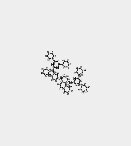 c1ccc(-c2cc(-c3ccccc3)nc(-n3c4ccccc4c4ccc(-c5ccc6c7c5ccc5cccc(c57)n6-c5nc(-c6ccccc6)nc(-c6ccccc6)n5)cc43)n2)cc1